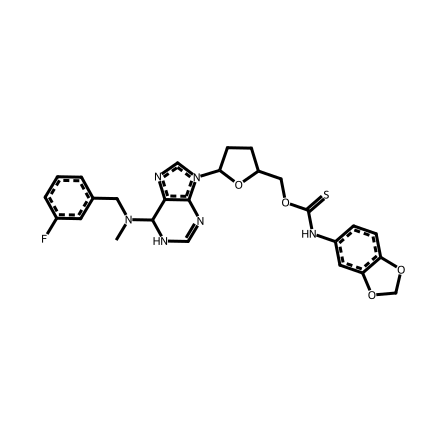 CN(Cc1cccc(F)c1)C1NC=Nc2c1ncn2C1CCC(COC(=S)Nc2ccc3c(c2)OCO3)O1